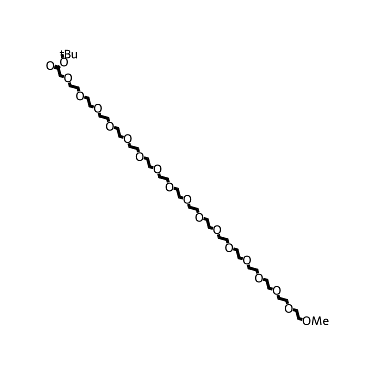 COCCOCCOCCOCCOCCOCCOCCOCCOCCOCCOCCOCCOCCOCCOCCOCCOCC(=O)OC(C)(C)C